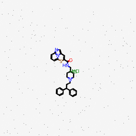 Cl.Cl.O=C(NCC1CCN(CCC(c2ccccc2)c2ccccc2)CC1)C1=Cc2cnc3cccc(n23)S1